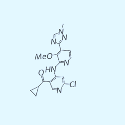 COc1c(-c2ncn(C)n2)ccnc1Nc1cc(Cl)ncc1C(=O)C1CC1